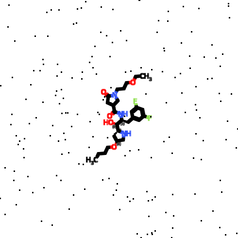 CCCCO[C@H]1CN[C@@H]([C@@H](O)[C@H](Cc2cc(F)cc(F)c2)NC(=O)C2CC(=O)N(CCCOCC)C2)C1